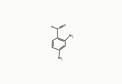 Bc1ccc([N+](=O)[O-])c(B)c1